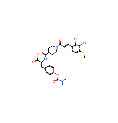 BC(=O)[C@H](Cc1ccc(OC(=O)N(C)C)cc1)NC(=O)C1CCN(C(=O)/C=C/c2ccc(SC)c(Cl)c2Cl)CC1